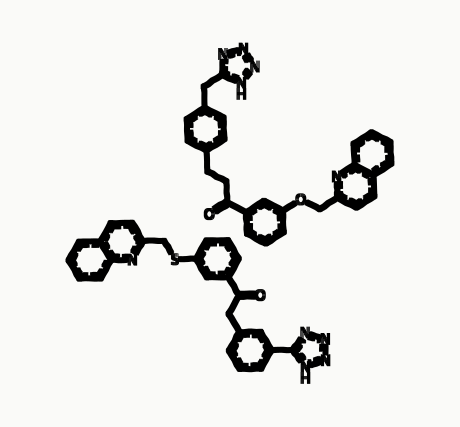 O=C(CCc1ccc(Cc2nnn[nH]2)cc1)c1cccc(OCc2ccc3ccccc3n2)c1.O=C(Cc1cccc(-c2nnn[nH]2)c1)c1cccc(SCc2ccc3ccccc3n2)c1